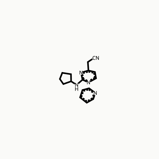 N#CCc1ccnc(NC2CCCC2)n1.c1ccncc1